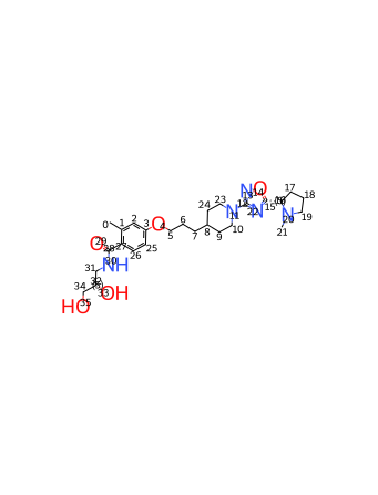 Cc1cc(OCCCC2CCN(c3noc([C@@H]4CCCN4C)n3)CC2)ccc1C(=O)NC[C@H](O)CO